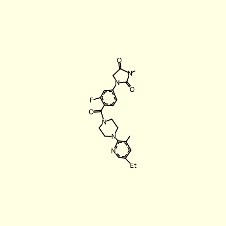 CCc1cnc(N2CCN(C(=O)c3ccc(N4CC(=O)N(C)C4=O)cc3F)CC2)c(C)c1